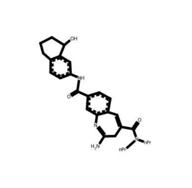 CCCN(CCC)C(=O)C1=Cc2ccc(C(=O)Nc3ccc4c(c3)C(O)CCC4)cc2N=C(N)C1